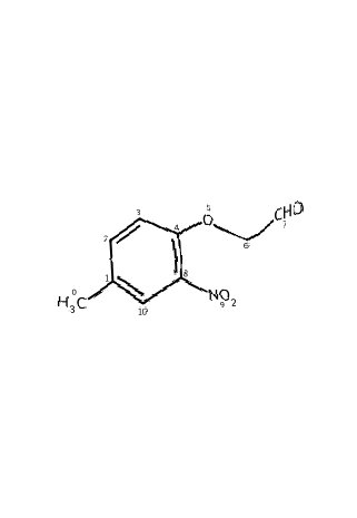 Cc1ccc(OCC=O)c([N+](=O)[O-])c1